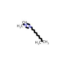 CC(C)CCCCCCCCCN1CCN(C(C)C)CC1